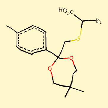 CCC(SCC1(c2ccc(C)cc2)OCC(C)(C)CO1)C(=O)O